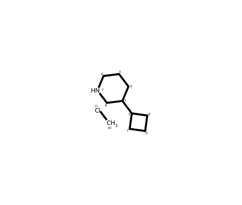 C1CC(C2CCCNC2)C1.CCl